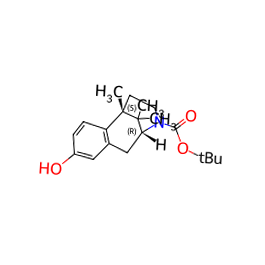 CC(C)(C)OC(=O)N1CC[C@@]2(C)c3ccc(O)cc3C[C@@H]1C2(C)C